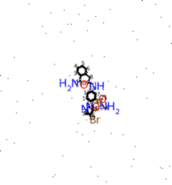 NCc1ccccc1CC(=O)Nc1ccc(-n2cc(Br)cn2)c(S(N)(=O)=O)c1